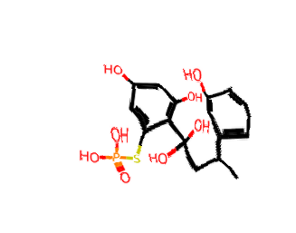 CC(CC(O)(O)c1c(O)cc(O)cc1SP(=O)(O)O)c1cccc(O)c1